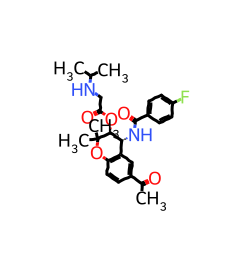 CC(=O)c1ccc2c(c1)[C@@H](NC(=O)c1ccc(F)cc1)[C@@H](OC(=O)CNC(C)C)C(C)(C)O2